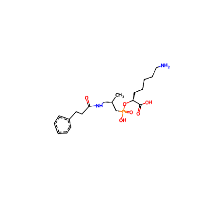 CC(CNC(=O)CCc1ccccc1)CP(=O)(O)O[C@@H](CCCCCN)C(=O)O